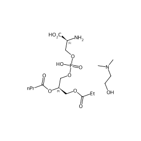 CCCC(=O)O[C@H](COC(=O)CC)COP(=O)(O)OC[C@H](N)C(=O)O.CN(C)CCO